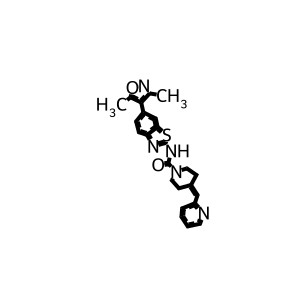 Cc1noc(C)c1-c1ccc2nc(NC(=O)N3CCC(=Cc4ccccn4)CC3)sc2c1